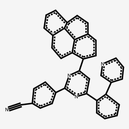 N#Cc1ccc(-c2nc(-c3ccccc3-c3cccnc3)cc(-c3ccc4ccc5cccc6ccc3c4c56)n2)cc1